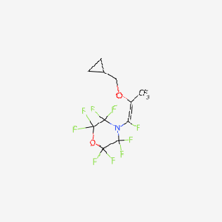 F/C(=C(/OCC1CC1)C(F)(F)F)N1C(F)(F)C(F)(F)OC(F)(F)C1(F)F